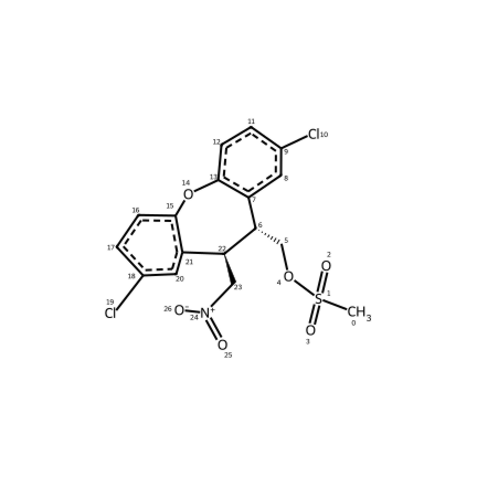 CS(=O)(=O)OC[C@H]1c2cc(Cl)ccc2Oc2ccc(Cl)cc2[C@@H]1C[N+](=O)[O-]